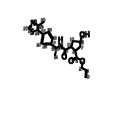 C=CCOC(=O)C1C[C@H](O)CC1C(=O)N[C@@H](C)c1ccc(-c2scnc2C)cc1